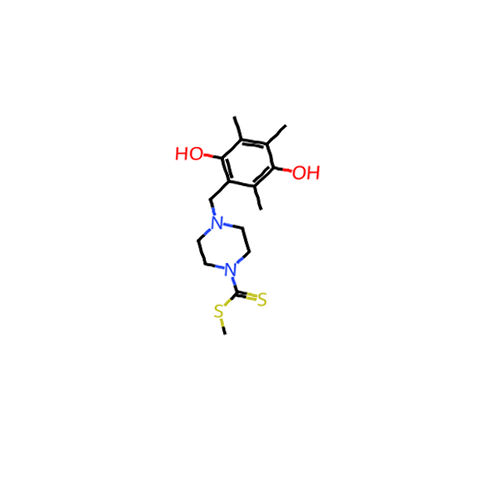 CSC(=S)N1CCN(Cc2c(C)c(O)c(C)c(C)c2O)CC1